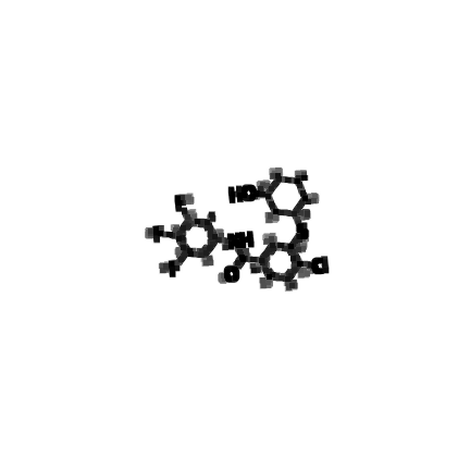 O=C(Nc1cc(F)c(F)c(F)c1)c1ccc(Cl)c(SC2CCCC(O)C2)c1